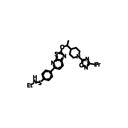 CCNSc1ccc(-c2ccc3nc(OC(C)C4CCN(c5nc(C(C)C)no5)CC4)sc3n2)cc1